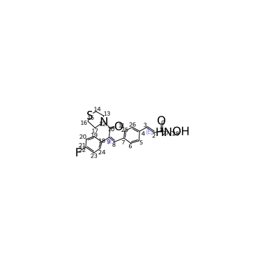 O=C(/C=C/c1ccc(/C=C(\C(=O)N2CCSCC2)c2ccc(F)cc2)cc1)NO